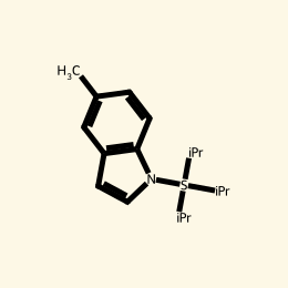 Cc1ccc2c(ccn2S(C(C)C)(C(C)C)C(C)C)c1